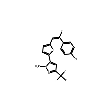 Cn1nc(C(F)(F)F)cc1-c1ccc(/C=C(/F)c2ccc(Cl)cc2)s1